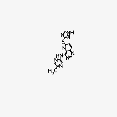 Cc1cnc(Nc2ncnc3ccc(Sc4nc[nH]n4)nc23)cn1